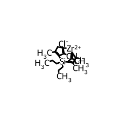 CCC[Si]1(CCC)C2=C(C)C[C](=C2C)[Zr+2][C]2=C(C)C1=C(C)C2.[Cl-].[Cl-]